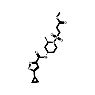 COC(=O)CCS(=O)(=O)N1CC[C@H](NC(=O)c2cc(C3CC3)on2)C[C@H]1C